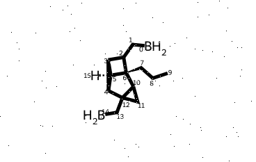 BCC1C2C3[C@@H]2[C@@]1(CCC)C1CC31CB